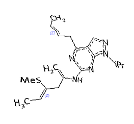 C=C(C/C(=C/C)SC)Nc1nc(C/C=C\C)c2cnn(C(C)C)c2n1